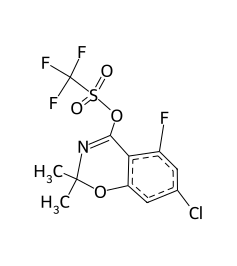 CC1(C)N=C(OS(=O)(=O)C(F)(F)F)c2c(F)cc(Cl)cc2O1